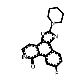 O=c1[nH]ccc2c3oc(N4CCCCC4)nc3c3ccc(F)cc3c12